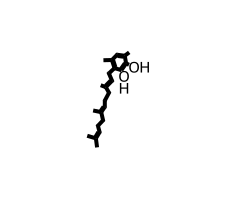 CC(C)=CCC/C(C)=C/CC/C(C)=C/Cc1c(C)cc(C)c(O)c1O